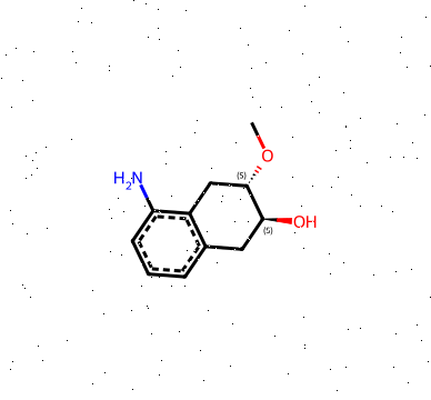 CO[C@H]1Cc2c(N)cccc2C[C@@H]1O